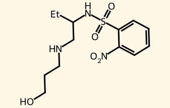 CCC(CNCCCO)NS(=O)(=O)c1ccccc1[N+](=O)[O-]